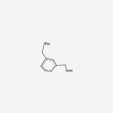 CCCCCCCCCCCc1[c]c(CCCCCCCCCCC)ccc1